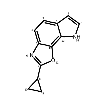 c1cc2ccc3nc(C4CC4)oc3c2[nH]1